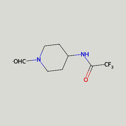 O=[C]N1CCC(NC(=O)C(F)(F)F)CC1